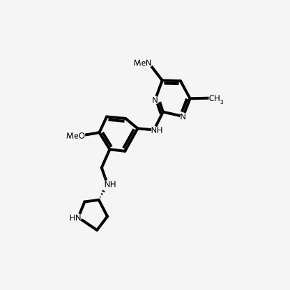 CNc1cc(C)nc(Nc2ccc(OC)c(CN[C@@H]3CCNC3)c2)n1